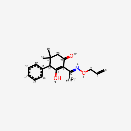 C=CCON=C(CCC)C1=C(O)C(c2ccccc2)C(C)(C)CC1=O